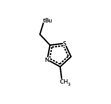 Cc1csc(CC(C)(C)C)n1